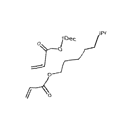 C=CC(=O)OCCCCCC(C)C.C=CC(=O)OCCCCCCCCCC